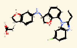 CCc1nc2ccc(F)cc2n1-c1cccc2c1OC[C@H]2Nc1ccc2c(c1)OC[C@H]2CC(=O)O